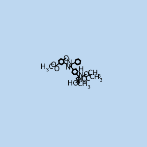 COC(=O)c1ccc2c(c1)-c1nc(-c3ccc(C4(NC(=O)OC(C)(C)C)CC(C)(O)C4)cc3)c(-c3ccccc3)n1CO2